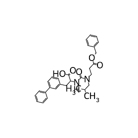 CC(C)CN(CCC(=O)OCc1ccccc1)C(=O)NC(Cc1cccc(-c2ccccc2)c1)C(=O)O